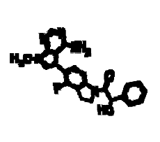 Cn1cc(-c2ccc3c(c2F)CCN3C(=O)C(O)c2ccccc2)c2c(N)ncnc21